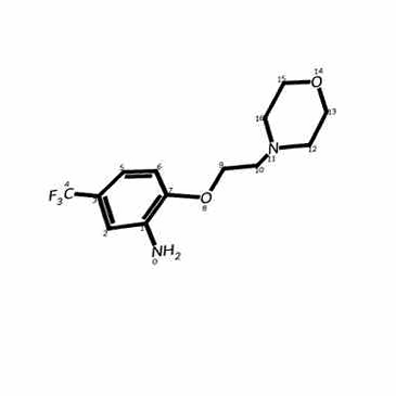 Nc1cc(C(F)(F)F)ccc1OCCN1CCOCC1